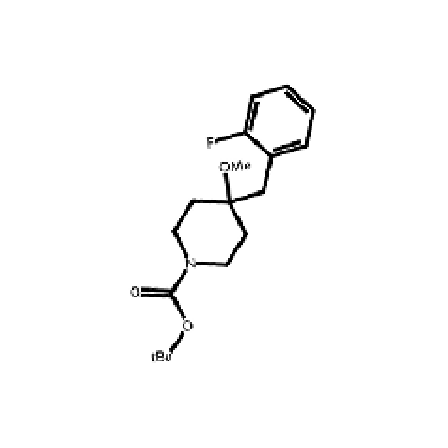 COC1(Cc2ccccc2F)CCN(C(=O)OC(C)(C)C)CC1